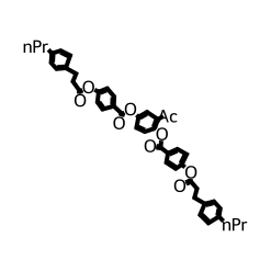 CCCc1ccc(CCC(=O)Oc2ccc(C(=O)Oc3ccc(OC(=O)c4ccc(OC(=O)CCc5ccc(CCC)cc5)cc4)c(C(C)=O)c3)cc2)cc1